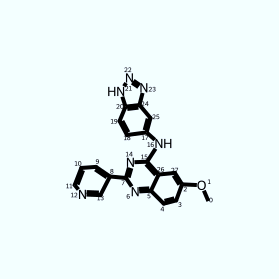 COc1ccc2nc(-c3cccnc3)nc(Nc3ccc4[nH]nnc4c3)c2c1